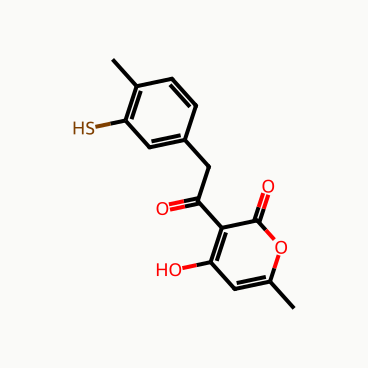 Cc1cc(O)c(C(=O)Cc2ccc(C)c(S)c2)c(=O)o1